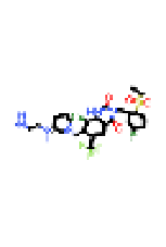 CCS(=O)(=O)c1ccc(Cl)cc1Cn1c(=O)[nH]c2c(Cl)c(CN3CCC[C@H](NCCNC)C3)c(C(F)(F)F)cc2c1=O